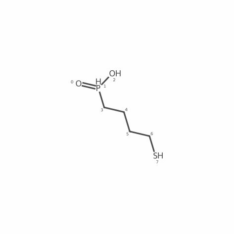 O=[PH](O)CCCCS